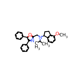 COc1cccc2c1CCC2N(Cc1nc(-c2ccccc2)c(-c2ccccc2)o1)C(C)C